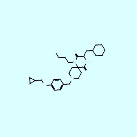 CCCCN1C(=O)C(CC2CCCCC2)NC(=O)C12CCN(Cc1ccc(OCC3CC3)cc1)CC2